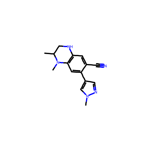 CC1CNc2cc(C#N)c(-c3cnn(C)c3)cc2N1C